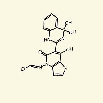 CCC=Nn1c(=O)c(C2=NS(O)(O)c3ccccc3N2)c(O)c2sccc21